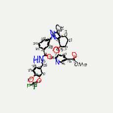 COC(=O)c1cncc(OC2CCCc3c(C(F)(F)F)nn(-c4cccc(C(=O)NCc5ccc6c(c5)OC(F)(F)O6)c4)c32)c1